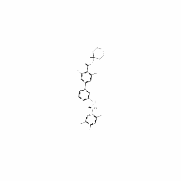 CCOC(=O)C1(NC(=O)c2c(C)cc(-c3cccc(NS(=O)(=O)c4cc(C)c(Cl)cc4C)c3)cc2C)CCOCC1